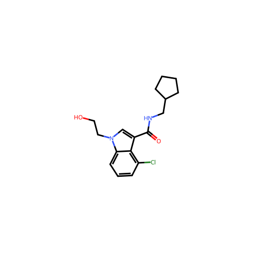 O=C(NCC1CCCC1)c1cn(CCO)c2cccc(Cl)c12